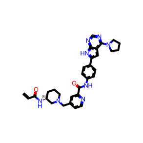 C=CC(=O)N[C@@H]1CCCN(Cc2ccnc(C(=O)Nc3ccc(-c4cc5c(N6CCCC6)ncnc5[nH]4)cc3)c2)C1